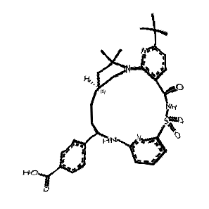 CC(C)(C)c1ccc2c(n1)N1C[C@@H](CCC(c3ccc(C(=O)O)cc3)Nc3cccc(n3)S(=O)(=O)NC2=O)CC1(C)C